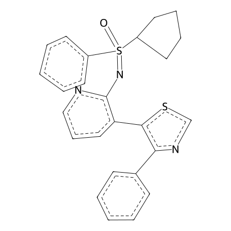 O=S(=Nc1ncccc1-c1scnc1-c1ccccc1)(c1ccccc1)C1CCCC1